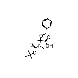 CN(C(=O)OC(C)(C)C)C(C)(OCc1ccccc1)C(=O)O